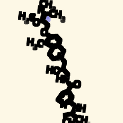 C=N/C(C)=C(/COc1ccc2c(c1C)CCN(CC(O)CNC(=O)c1ccnc(NC(C)CC)c1)C2)OC